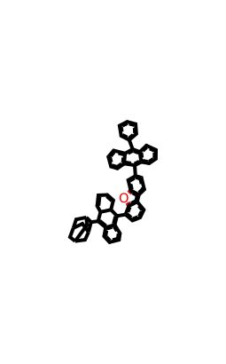 C1=CC2C(c3cccc4c3oc3cc(-c5c6ccccc6c(-c6ccccc6)c6ccccc56)ccc34)=c3ccccc3=C(C3C4CC5CC(C4)CC3C5)C2C=C1